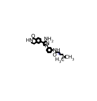 CN(C)C/C=C/C(=O)Nc1cccc(-n2cc(-c3ccc4c(c3)CCNC4=O)c(N)n2)c1